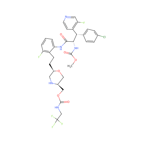 COC(=O)N[C@H](C(=O)Nc1cccc(F)c1CC[C@@H]1CN[C@H](COC(=O)NCC(F)(F)F)CO1)[C@@H](c1ccc(Cl)cc1)c1ccncc1F